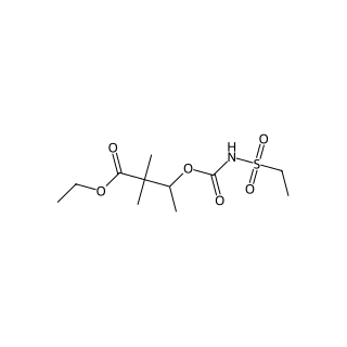 CCOC(=O)C(C)(C)C(C)OC(=O)NS(=O)(=O)CC